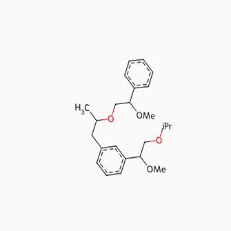 COC(COC(C)C)c1cccc(CC(C)OCC(OC)c2ccccc2)c1